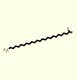 FC(F)CCCCCCCCCCCCCCCCCCCCCCC(F)(F)F